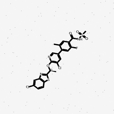 Cc1cc(C(=O)NS(C)(=O)=O)c(F)cc1-c1cnc(O[C@@H](C)c2nc3cc(Cl)ccc3s2)c(Cl)c1